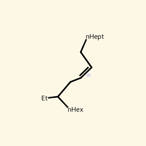 CCCCCCCC/C=C\CC(CC)CCCCCC